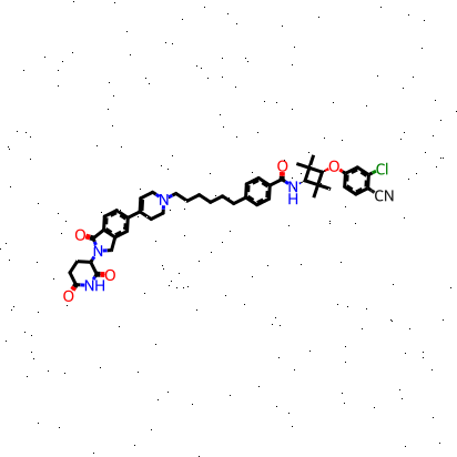 CC1(C)[C@H](NC(=O)c2ccc(CCCCCCN3CC=C(c4ccc5c(c4)CN(C4CCC(=O)NC4=O)C5=O)CC3)cc2)C(C)(C)[C@H]1Oc1ccc(C#N)c(Cl)c1